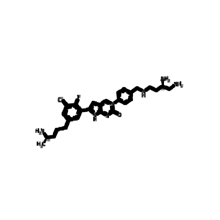 C[C@H](N)CCCc1cc(Cl)c(F)c(-c2cc3cn(-c4ccc(CNCC[C@@H](N)CN)cc4)c(=O)nc3[nH]2)c1